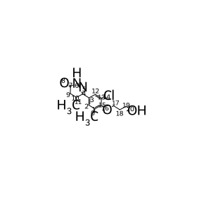 Cc1cc(C2=NNC(=O)CC2C)cc(Cl)c1OCCCO